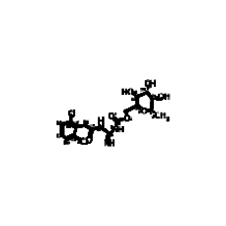 C[C@H]1OC(COC(=O)NC(=N)NC(=O)Cc2c(Cl)cccc2Cl)[C@@H](O)[C@H](O)[C@H]1O